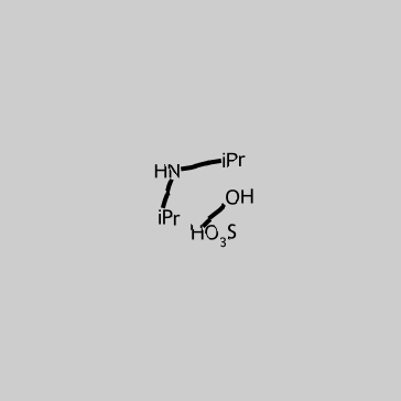 CC(C)NC(C)C.O=S(=O)(O)O